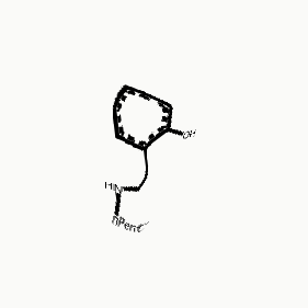 CCCC[CH]NCc1ccccc1O